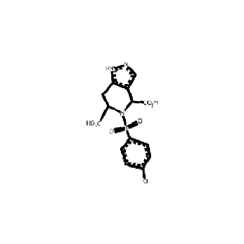 O=C(O)C1Cc2[nH]ncc2C(C(=O)O)N1S(=O)(=O)c1ccc(Cl)cc1